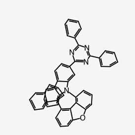 c1ccc(-c2nc(-c3ccccc3)nc(-c3ccc4c5ccccc5n(-c5cccc6oc7cccc(-c8cccc9ccccc89)c7c56)c4c3)n2)cc1